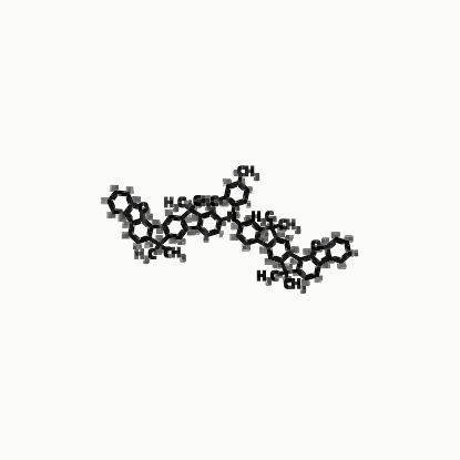 Cc1ccc(N(c2ccc3c(c2)C(C)(C)c2cc4c(cc2-3)C(C)(C)c2ccc3c(oc5ccccc53)c2-4)c2ccc3c(c2)C(C)(C)c2cc4c(cc2-3)C(C)(C)c2ccc3c(oc5ccccc53)c2-4)c(C)c1